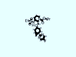 CCS(=O)(=O)N[C@H]1CCCN(C(=O)OC(C)C)[C@H]1COC1CC[C@@]2(c3ncc(F)cn3)CC2C1